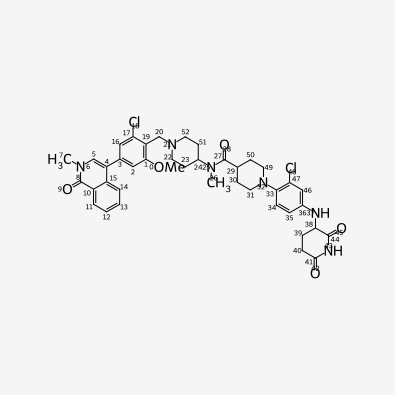 COc1cc(-c2cn(C)c(=O)c3ccccc23)cc(Cl)c1CN1CCC(N(C)C(=O)C2CCN(c3ccc(NC4CCC(=O)NC4=O)cc3Cl)CC2)CC1